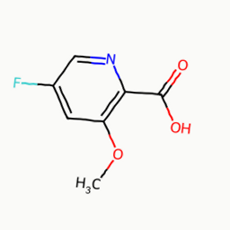 COc1cc(F)cnc1C(=O)O